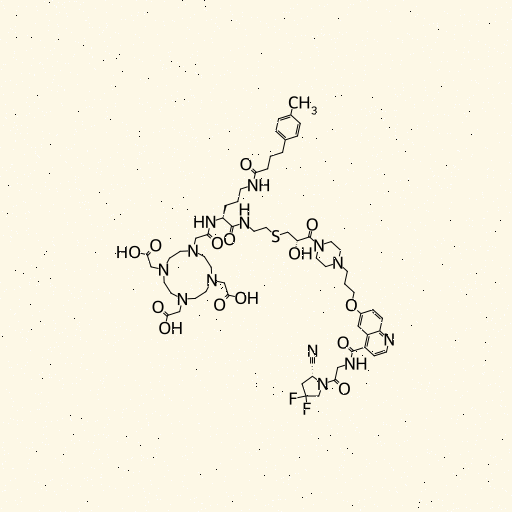 Cc1ccc(CCCC(=O)NCCC[C@H](NC(=O)CN2CCN(CC(=O)O)CCN(CC(=O)O)CCN(CC(=O)O)CC2)C(=O)NCCSC[C@@H](O)C(=O)N2CCN(CCCOc3ccc4nccc(C(=O)NCC(=O)N5CC(F)(F)C[C@@H]5C#N)c4c3)CC2)cc1